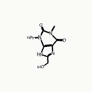 CCCn1c(=O)n(C)c(=O)c2nc(CO)[nH]c21